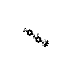 CN(C)c1ccc(/N=N/c2ccc(B3OC(C)(C)C(C)(C)O3)cc2F)cc1